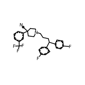 N#CC1(c2cccc(C(F)(F)F)c2)CCN(CCCC(c2ccc(F)cc2)c2ccc(F)cc2)CC1